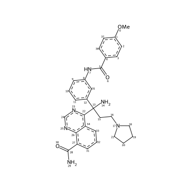 COc1ccc(C(=O)Nc2cccc(C(N)(CCN3CCCC3)c3ncnc4c(C(N)=O)cccc34)c2)cc1